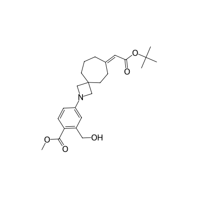 COC(=O)c1ccc(N2CC3(CCC/C(=C/C(=O)OC(C)(C)C)CC3)C2)cc1CO